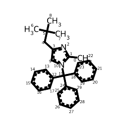 Cc1nc(CC(C)(C)C)cn1C(c1ccccc1)(c1ccccc1)c1ccccc1